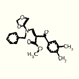 COC(=O)C(=CN(Cc1ccccc1)C1=COCO1)C(=O)c1ccc(C)c(C)c1